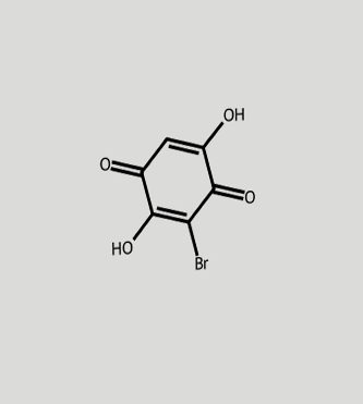 O=C1C=C(O)C(=O)C(Br)=C1O